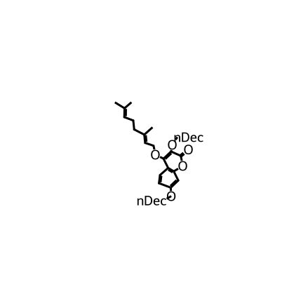 CCCCCCCCCCOc1ccc2c(OC/C=C(\C)CCC=C(C)C)c(OCCCCCCCCCC)c(=O)oc2c1